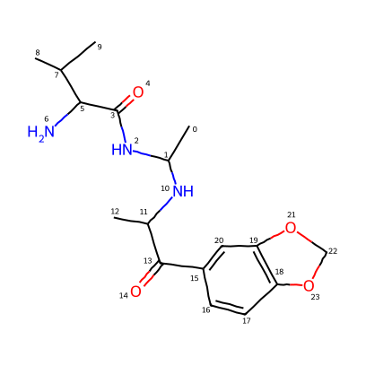 CC(NC(=O)C(N)C(C)C)NC(C)C(=O)c1ccc2c(c1)OCO2